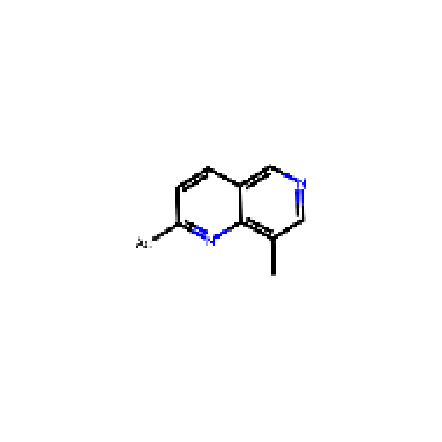 CC(=O)c1ccc2cncc(C)c2n1